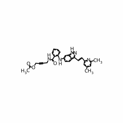 CC(=O)OCC#CCNC(=O)c1ccccc1Nc1ccc2c(C=Cc3cc(C)cc(C)n3)n[nH]c2c1